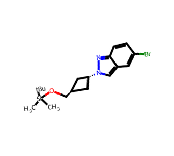 CC(C)(C)[Si](C)(C)OC[C@H]1C[C@H](n2cc3cc(Br)ccc3n2)C1